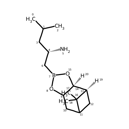 CC(C)C[C@H](N)CB1OC2CC3C[C@H]([C@@H]2O1)C3(C)C